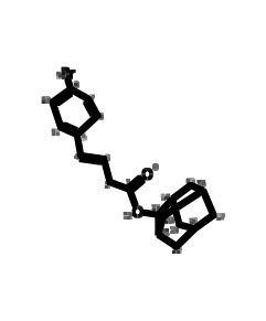 O=C(CC=Cc1ccc(Br)cc1)OC1C2CC3CC(C2)CC1C3